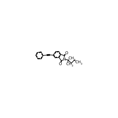 CCCC(C)(C)N1C(=O)c2ccc(C#Cc3ccccc3)cc2C1=O